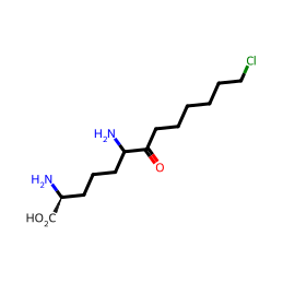 NC(CCC[C@H](N)C(=O)O)C(=O)CCCCCCCl